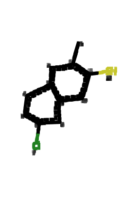 Cc1cc2ccc(Cl)cc2cc1S